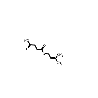 CC(C)=CCOC(=O)CCC(=O)O